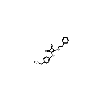 O=c1c(NCCc2ccccc2)c(Nc2ccc(OC(F)(F)F)cc2)c1=O